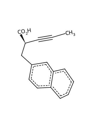 CC#C[C@@H](Cc1ccc2ccccc2c1)C(=O)O